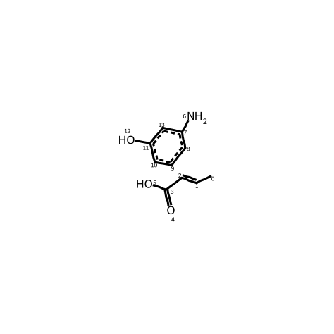 CC=CC(=O)O.Nc1cccc(O)c1